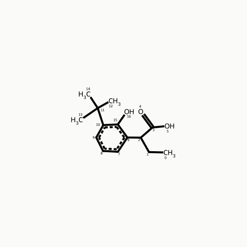 CCC(C(=O)O)c1cccc(C(C)(C)C)c1O